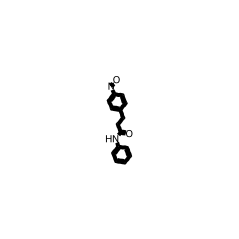 O=Nc1ccc(CCC(=O)Nc2ccccc2)cc1